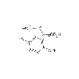 N#Cc1ccc(F)cc1.O=C(O)CCC(=O)O